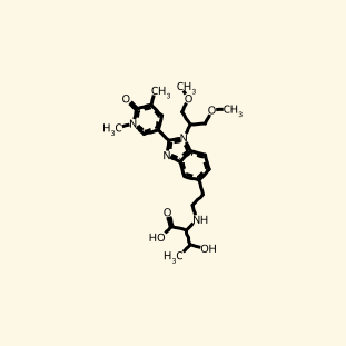 COCC(COC)n1c(-c2cc(C)c(=O)n(C)c2)nc2cc(CCNC(C(=O)O)C(C)O)ccc21